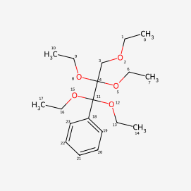 CCOCC(OCC)(OCC)C(OCC)(OCC)c1ccccc1